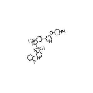 Fc1ccccc1-c1nccc2[nH]c(-c3n[nH]c4ccc(-c5cncc(OC6CCNCC6)c5)cc34)nc12